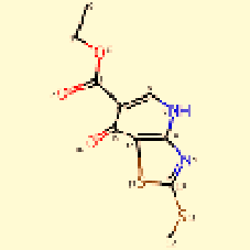 CCOC(=O)c1c[nH]c2nc(SC)sc2c1=O